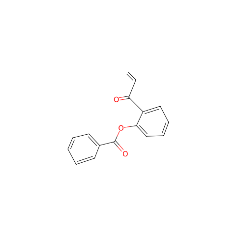 C=CC(=O)c1ccccc1OC(=O)c1ccccc1